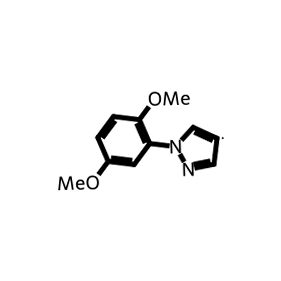 COc1ccc(OC)c(-n2c[c]cn2)c1